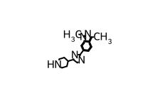 Cc1nn(C)c2cc(C3=NCC(C4CCNCC4)=N3)ccc12